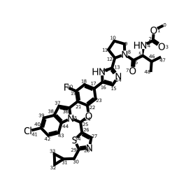 COC(=O)N[C@H](C(=O)N1CCCC1c1ncc(-c2cc(F)c3c(c2)OC(c2cnc(CC4CC4)s2)n2c-3cc3cc(Cl)ccc32)[nH]1)C(C)C